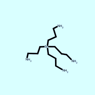 NCC[CH2][Sn]([CH2]CCN)([CH2]CCN)[CH2]CCN